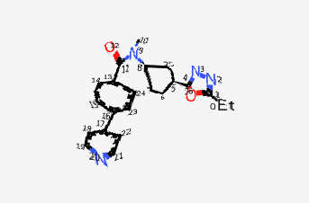 CCc1nnc([C@H]2CC[C@@H](N(C)C(=O)c3ccc(-c4ccncc4)cc3)C2)o1